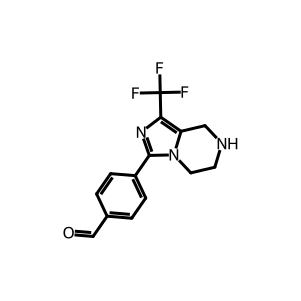 O=Cc1ccc(-c2nc(C(F)(F)F)c3n2CCNC3)cc1